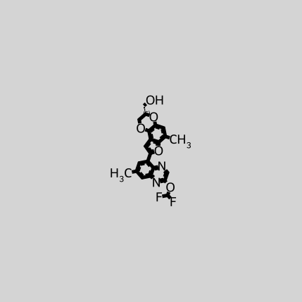 Cc1cc(-c2cc3c4c(cc(C)c3o2)O[C@@H](CO)CO4)c2ncc(OC(F)F)nc2c1